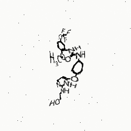 COc1ccc(OC(F)(F)F)cc1NC(=O)N[C@H]1CC[C@H](OC2=CC=NC(NCCO)N2)CC1